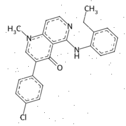 CCc1ccccc1Nc1nccc2c1c(=O)c(-c1ccc(Cl)cc1)cn2C